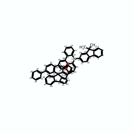 CC1(C)c2ccccc2-c2ccc(N(c3ccc(-c4cccc5c4C4(c6ccccc6Oc6ccc(-c7ccccc7)cc64)c4ccccc4-5)cc3)c3ccccc3-c3ccccc3)cc21